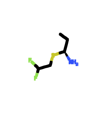 CC[C@H](N)SCC(F)F